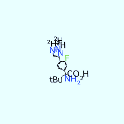 [2H]C([2H])([2H])n1ncc(-c2ccc([C@](N)(CC(C)(C)C)C(=O)O)cc2F)n1